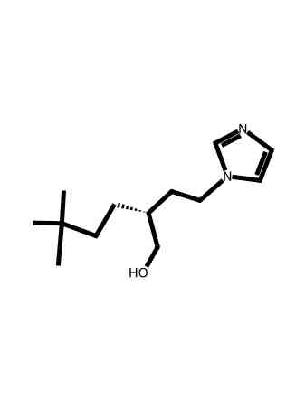 CC(C)(C)CC[C@@H](CO)CCn1ccnc1